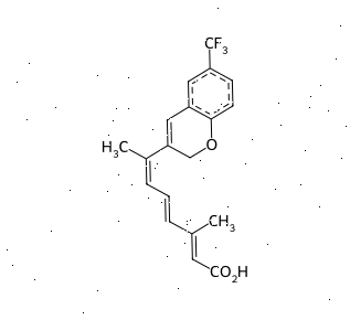 C/C(=C/C=C/C(C)=C/C(=O)O)C1=Cc2cc(C(F)(F)F)ccc2OC1